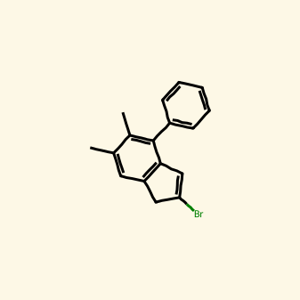 Cc1cc2c(c(-c3ccccc3)c1C)C=C(Br)C2